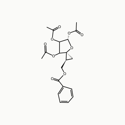 CC(=O)OC1C(OC(C)=O)[C@@]2(C[C@H]2COC(=O)c2ccccc2)O[C@H]1OC(C)=O